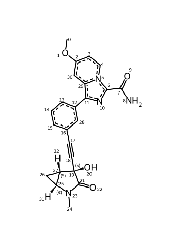 COc1ccn2c(C(N)=O)nc(-c3cccc(C#C[C@]4(O)C(=O)N(C)[C@@H]5C[C@@H]54)c3)c2c1